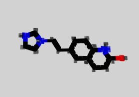 O=c1ccc2cc(C=Cn3ccnc3)ccc2[nH]1